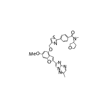 COc1cc(OCc2csc(-c3ccc(C(=O)N(C)[C@H]4CCOC4)cc3)n2)c2cc(-c3cn4nc(C)cnc4n3)oc2c1